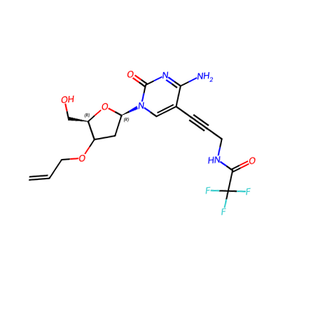 C=CCOC1C[C@H](n2cc(C#CCNC(=O)C(F)(F)F)c(N)nc2=O)O[C@@H]1CO